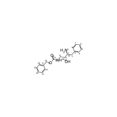 N[C@@H](Cc1ccccc1)[C@H](O)CNC(=O)OCc1ccccc1